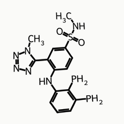 CNS(=O)(=O)c1ccc(Nc2cccc(P)c2P)c(-c2nnnn2C)c1